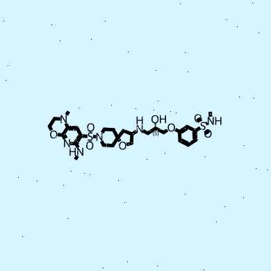 CNc1nc2c(cc1S(=O)(=O)N1CCC3(CC1)CC(NC[C@H](O)COc1cccc(S(=O)(=O)NC)c1)CO3)N(C)CCO2